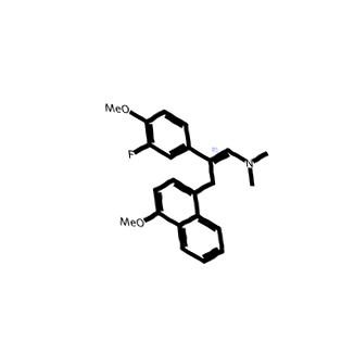 COc1ccc(/C(=C/N(C)C)Cc2ccc(OC)c3ccccc23)cc1F